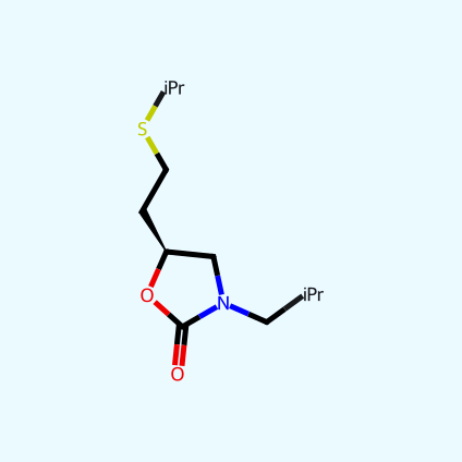 CC(C)CN1C[C@H](CCSC(C)C)OC1=O